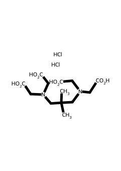 CC(C)(CN(CC(=O)O)CC(=O)O)CN(CC(=O)O)CC(=O)O.Cl.Cl